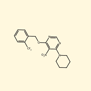 O=[N+]([O-])c1c(OCc2ccccc2C(F)(F)F)ncnc1N1CCCCC1